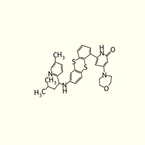 Cc1ccc(C(CC(C)C)Nc2ccc3c(c2)Sc2cccc(-c4cc(N5CCOCC5)cc(=O)[nH]4)c2S3)nc1